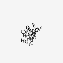 O=C(O)CNC(=O)c1c(O)n(C2CCCCC2)c(=O)n(Cc2c(F)cc(F)cc2F)c1=O